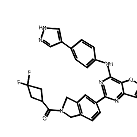 O=C(C1CC(F)(F)C1)N1Cc2ccc(-c3nc(Nc4ccc(-c5cn[nH]c5)cc4)c4occc4n3)cc2C1